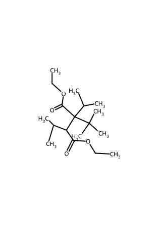 CCOC(=O)C(C(C)C)C(C(=O)OCC)(C(C)C)C(C)(C)C